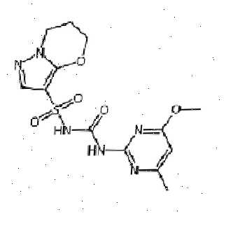 COc1cc(C)nc(NC(=O)NS(=O)(=O)c2cnn3c2OCCC3)n1